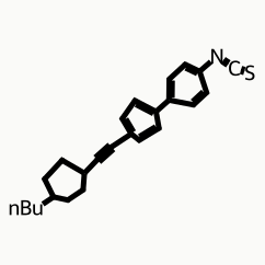 CCCCC1CCC(C#Cc2ccc(-c3ccc(N=C=S)cc3)cc2)CC1